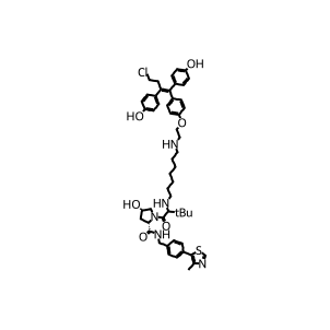 Cc1ncsc1-c1ccc(CNC(=O)[C@@H]2C[C@@H](O)CN2C(=O)C(NCCCCCCCNCCOc2ccc(C(=C(CCCl)c3ccc(O)cc3)c3ccc(O)cc3)cc2)C(C)(C)C)cc1